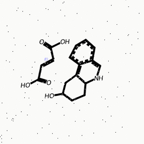 O=C(O)/C=C/C(=O)O.OC1CCC2NC=c3ccccc3=C2C1